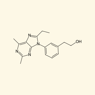 CCc1nc2c(C)nc(C)nc2n1-c1cccc(CCO)c1